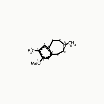 COc1cc2c(cc1C(F)(F)F)CCN(C)CC2